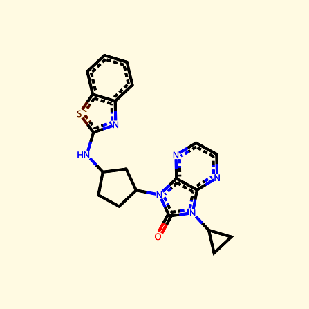 O=c1n(C2CC2)c2nccnc2n1C1CCC(Nc2nc3ccccc3s2)C1